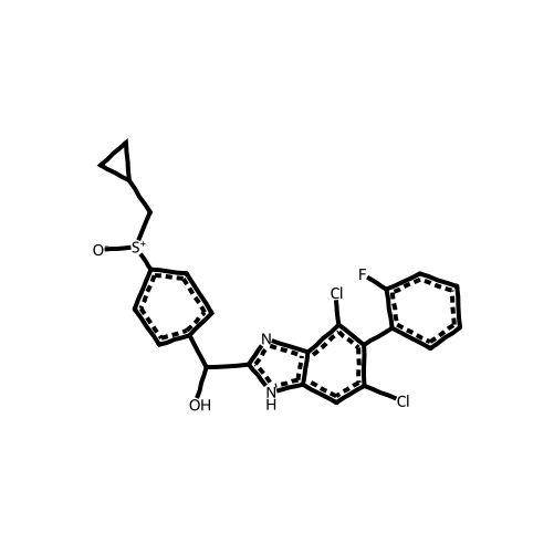 [O-][S+](CC1CC1)c1ccc(C(O)c2nc3c(Cl)c(-c4ccccc4F)c(Cl)cc3[nH]2)cc1